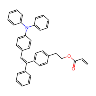 C=CC(=O)OCCc1ccc(/C(=C\c2ccc(N(c3ccccc3)c3ccccc3)cc2)c2ccccc2)cc1